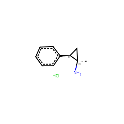 C[C@@]1(N)C[C@@H]1c1ccccc1.Cl